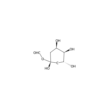 O=CO[C@]1(O)C[C@@H](O)[C@@H](O)[C@H](O)C1